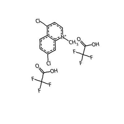 C[n+]1ccc(Cl)c2ccc(Cl)cc21.O=C(O)C(F)(F)F.O=C(O)C(F)(F)F